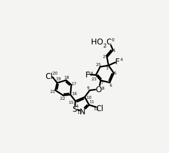 O=C(O)/C=C/C1(F)C=CC(OCc2c(Cl)nsc2-c2ccc(Cl)cc2)=C(F)C1